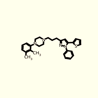 Cc1cccc(N2CCN(CCCc3cc(-c4cccs4)n(-c4ccccc4)n3)CC2)c1C